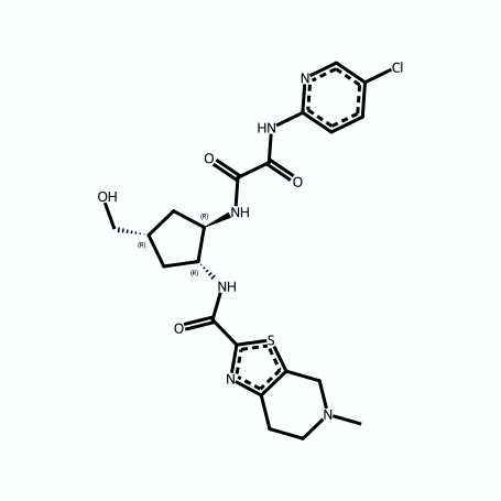 CN1CCc2nc(C(=O)N[C@@H]3C[C@H](CO)C[C@H]3NC(=O)C(=O)Nc3ccc(Cl)cn3)sc2C1